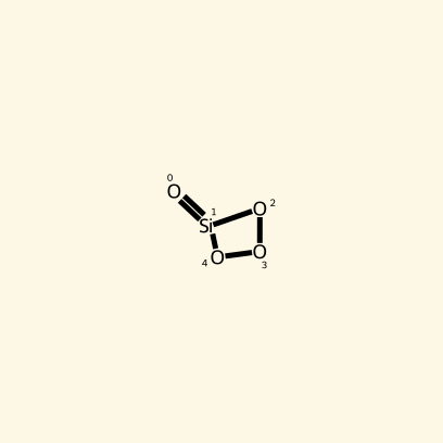 O=[si]1ooo1